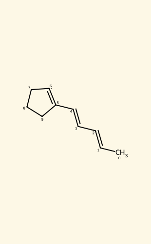 CC=CC=CC1=[C]CCC1